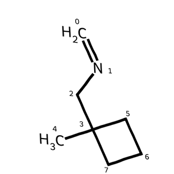 C=NCC1(C)CCC1